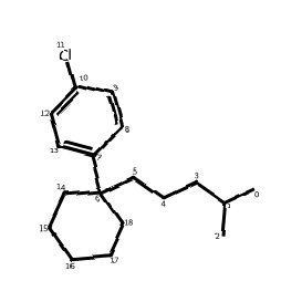 CC(C)CCCC1(c2ccc(Cl)cc2)CCCCC1